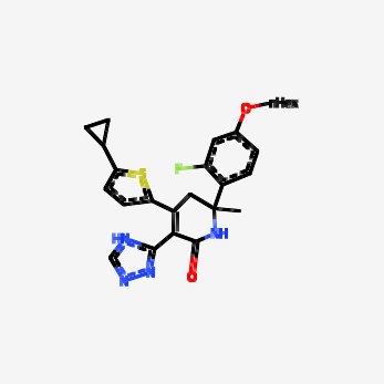 CCCCCCOc1ccc(C2(C)CC(c3ccc(C4CC4)s3)=C(c3nnc[nH]3)C(=O)N2)c(F)c1